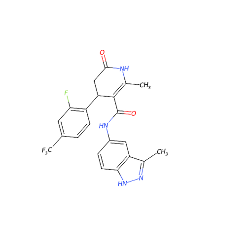 CC1=C(C(=O)Nc2ccc3[nH]nc(C)c3c2)C(c2ccc(C(F)(F)F)cc2F)CC(=O)N1